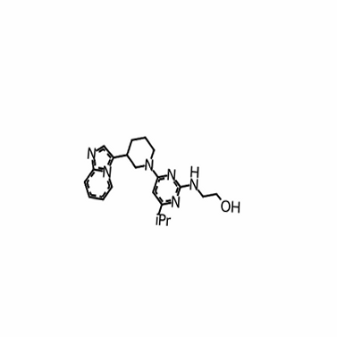 CC(C)c1cc(N2CCCC(c3cnc4ccccn34)C2)nc(NCCO)n1